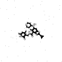 CCN(c1cc2oc(C3CC3)nc2c(C(=O)NCc2c(C)cc(C)[nH]c2=O)c1C)C1CCOCC1